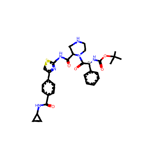 CC(C)(C)OC(=O)N[C@@H](C(=O)N1CCNCC1C(=O)Nc1nc(-c2ccc(C(=O)NC3CC3)cc2)cs1)c1ccccc1